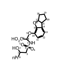 CCCC(O)CS(=O)(=O)NC(Oc1cccc2c1OC1CCCC21)C(=O)O